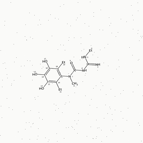 CCNC(=N)NC(=O)N(C)c1c(CC)c(O)c(O)c(O)c1CC